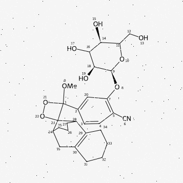 COC1(c2ccc(C#N)c(O[C@@H]3OC(CO)[C@H](O)C(O)[C@@H]3O)c2)OOC12C1CCCC2C2=C(CCCC2)C1